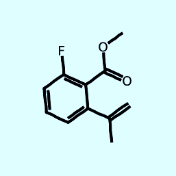 C=C(C)c1cccc(F)c1C(=O)OC